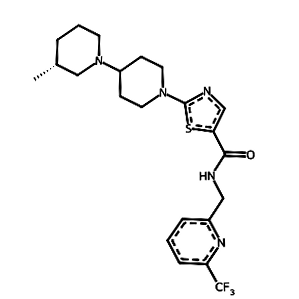 C[C@@H]1CCCN(C2CCN(c3ncc(C(=O)NCc4cccc(C(F)(F)F)n4)s3)CC2)C1